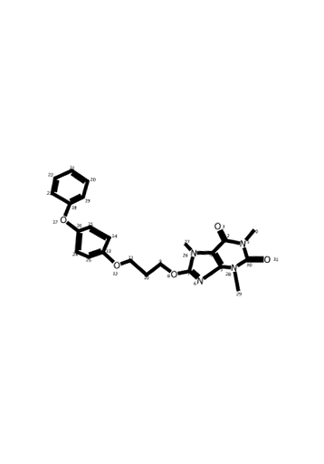 Cn1c(=O)c2c(nc(OCCCOc3ccc(Oc4ccccc4)cc3)n2C)n(C)c1=O